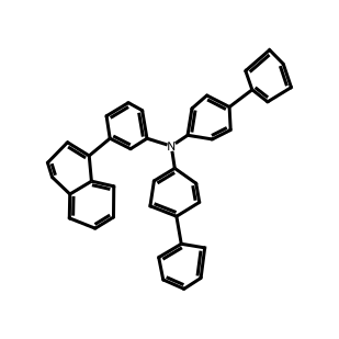 c1ccc(-c2ccc(N(c3ccc(-c4ccccc4)cc3)c3cccc(-c4cccc5ccccc45)c3)cc2)cc1